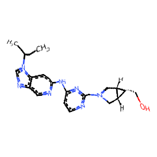 CC(C)n1cnc2cnc(Nc3ccnc(N4C[C@@H]5[C@H](CO)[C@@H]5C4)n3)cc21